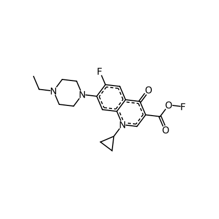 CCN1CCN(c2cc3c(cc2F)c(=O)c(C(=O)OF)cn3C2CC2)CC1